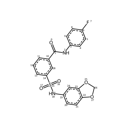 O=C(Nc1ccc(F)cc1)c1cccc(S(=O)(=O)Nc2ccc3c(c2)OCO3)c1